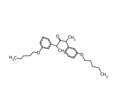 CCCCCOc1cccc(C(C)C(=O)C(C)c2cccc(OCCCCC)c2)c1